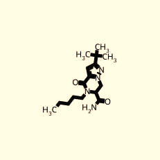 CCCCCN1C(=O)c2cc(C(C)(C)C)nn2CC1C(N)=O